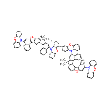 CC1(C)c2cc3oc4cc(N5c6ccccc6Oc6ccccc65)c5ccccc5c4c3cc2-c2c1cc(N1c3ccccc3Oc3c(-c4ccc5c(c4)Oc4ccccc4N5c4cc5c(c6ccccc46)-c4c(ccc6oc7cc(N8c9ccccc9Oc9ccccc98)c8ccccc8c7c46)C5(C)C)cccc31)c1ccccc21